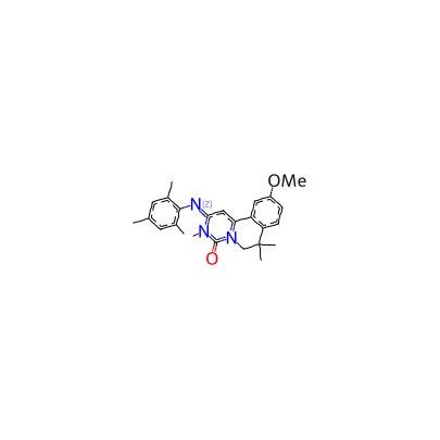 COc1ccc2c(c1)-c1c/c(=N/c3c(C)cc(C)cc3C)n(C)c(=O)n1CC2(C)C